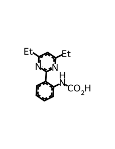 CCc1cc(CC)nc(-c2ccccc2NC(=O)O)n1